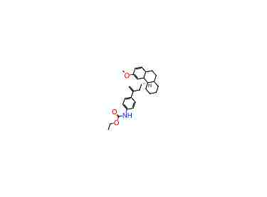 C=C(CC[C@@]12CCCCC1CCC1C=CC(OC)=CC12)c1ccc(NC(=O)OCC)cc1